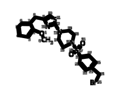 COc1ccccc1Cc1csc(N2CCN(S(=O)(=O)c3ccc(CBr)cc3)CC2)n1